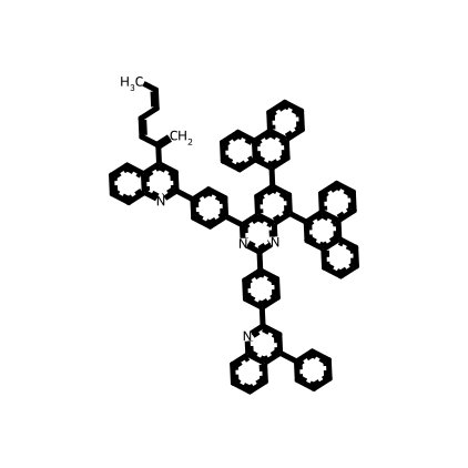 C=C(/C=C\C=C/C)c1cc(-c2ccc(-c3nc(-c4ccc(-c5cc(-c6ccccc6)c6ccccc6n5)cc4)nc4c(-c5cc6ccccc6c6ccccc56)cc(-c5cc6ccccc6c6ccccc56)cc34)cc2)nc2ccccc12